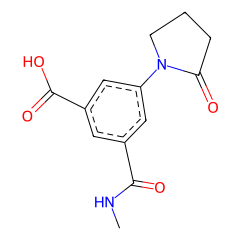 CNC(=O)c1cc(C(=O)O)cc(N2CCCC2=O)c1